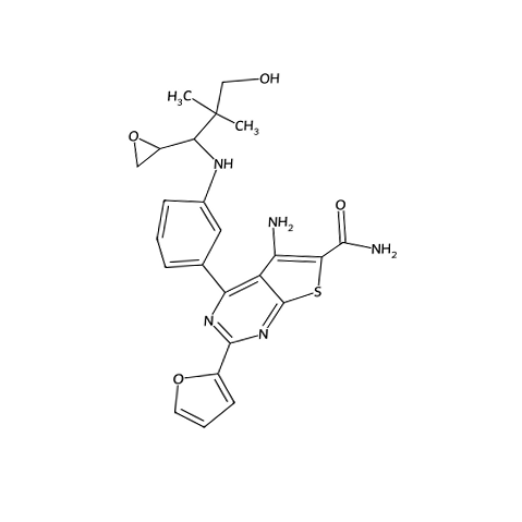 CC(C)(CO)C(Nc1cccc(-c2nc(-c3ccco3)nc3sc(C(N)=O)c(N)c23)c1)C1CO1